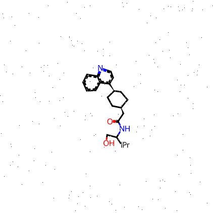 CC(C)C(CO)NC(=O)C[C@H]1CC[C@@H](c2ccnc3ccccc32)CC1